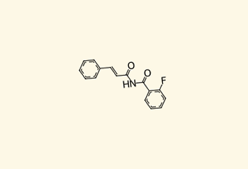 O=C(C=Cc1ccccc1)NC(=O)c1ccccc1F